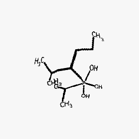 CCCC(C(C)C)P(O)(O)(O)C(C)C